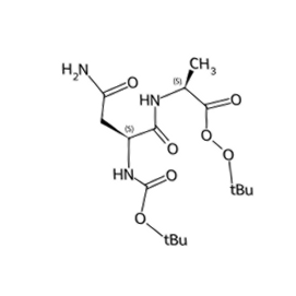 C[C@H](NC(=O)[C@H](CC(N)=O)NC(=O)OC(C)(C)C)C(=O)OOC(C)(C)C